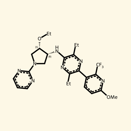 CCO[C@H]1CN(c2ncccn2)C[C@H]1Nc1nc(CC)c(-c2ccc(OC)nc2C(F)(F)F)nc1CC